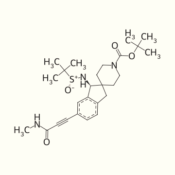 CNC(=O)C#Cc1ccc2c(c1)[C@@H](N[S@+]([O-])C(C)(C)C)C1(CCN(C(=O)OC(C)(C)C)CC1)C2